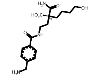 NCc1ccc(C(=O)NCC[C@@](CCCCO)(C(N)=O)C(=O)O)cc1